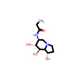 CCC(=O)N[C@H]1CN2CC[C@H](O)C2[C@@H](O)[C@@H]1O